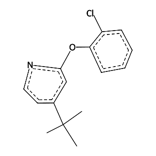 CC(C)(C)c1ccnc(Oc2ccccc2Cl)c1